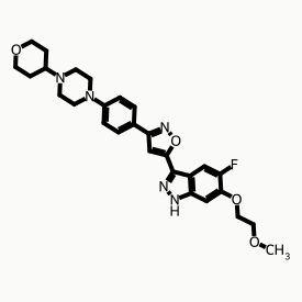 COCCOc1cc2[nH]nc(-c3cc(-c4ccc(N5CCN(C6CCOCC6)CC5)cc4)no3)c2cc1F